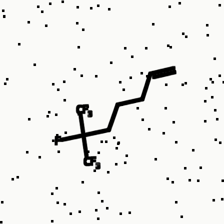 C=CCCCC(F)(C(F)(F)F)C(F)(F)F